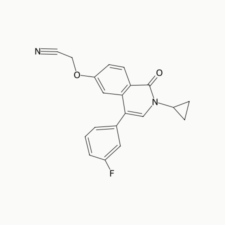 N#CCOc1ccc2c(=O)n(C3CC3)cc(-c3cccc(F)c3)c2c1